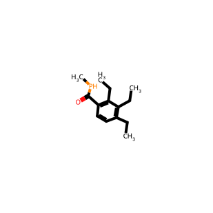 CCc1ccc(C(=O)PC)c(CC)c1CC